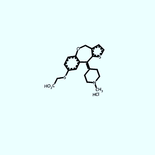 CN1CCC(=C2c3cc(SCC(=O)O)ccc3OCc3ccsc32)CC1.Cl